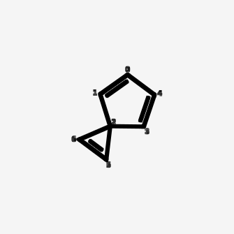 C1=CC2(C=C1)C=C2